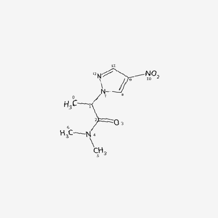 CC(C(=O)N(C)C)n1cc([N+](=O)[O-])cn1